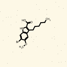 CCCCCCc1c(C(=O)O)[nH]c2cc(Br)c(OC)cc12